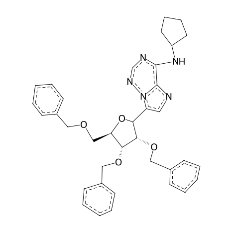 c1ccc(COC[C@H]2OC(c3cnc4c(NC5CCCC5)ncnn34)[C@H](OCc3ccccc3)[C@@H]2OCc2ccccc2)cc1